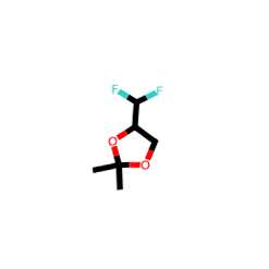 CC1(C)OCC(C(F)F)O1